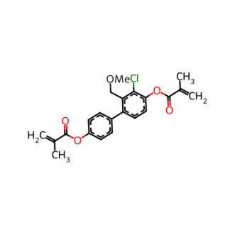 C=C(C)C(=O)Oc1ccc(-c2ccc(OC(=O)C(=C)C)c(Cl)c2COC)cc1